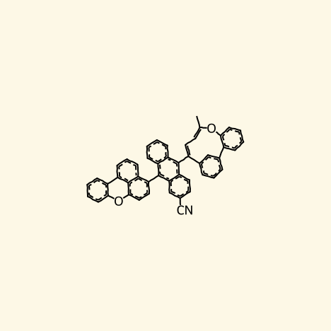 C/C1=C\C=C(\c2c3ccccc3c(-c3ccc4c5c(cccc35)-c3ccccc3O4)c3cc(C#N)ccc23)c2cccc(c2)-c2ccccc2O1